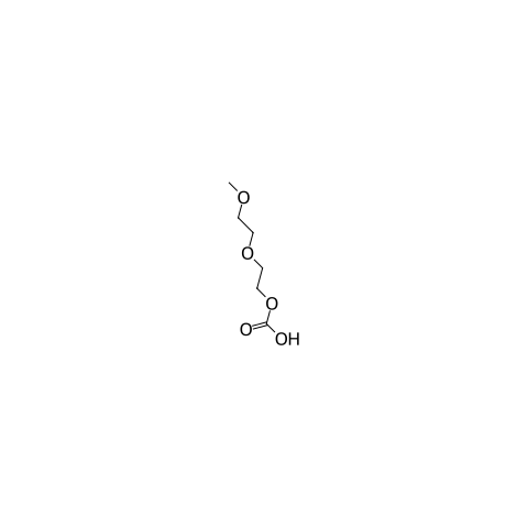 COCCOCCOC(=O)O